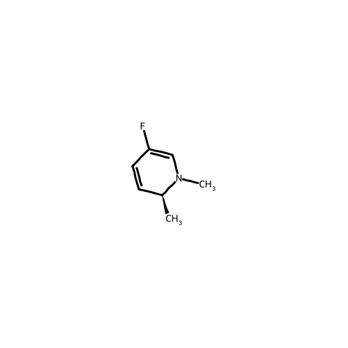 C[C@H]1C=CC(F)=CN1C